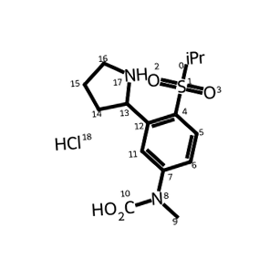 CC(C)S(=O)(=O)c1ccc(N(C)C(=O)O)cc1C1CCCN1.Cl